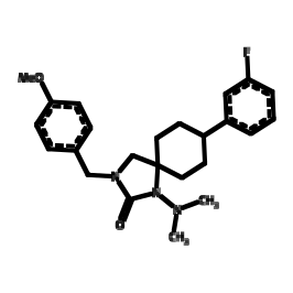 COc1ccc(CN2CC3(CCC(c4cccc(F)c4)CC3)N(N(C)C)C2=O)cc1